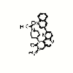 CC(=O)N1CCC(N2C(=O)N(C)Cc3cnc4ccc(-c5cnc6ccccc6c5)nc4c32)CC1